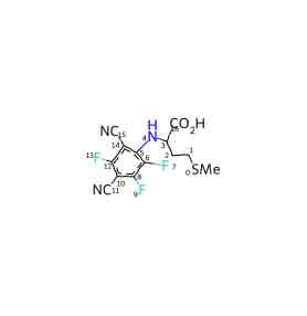 CSCCC(Nc1c(F)c(F)c(C#N)c(F)c1C#N)C(=O)O